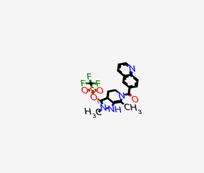 CC1=C2NN(C)[C@@H](OS(=O)(=O)C(F)(F)F)C2CCN1C(=O)c1ccc2ncccc2c1